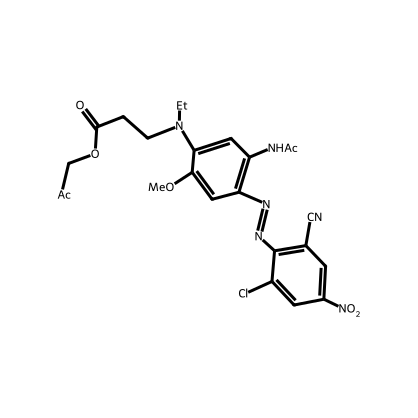 CCN(CCC(=O)OCC(C)=O)c1cc(NC(C)=O)c(N=Nc2c(Cl)cc([N+](=O)[O-])cc2C#N)cc1OC